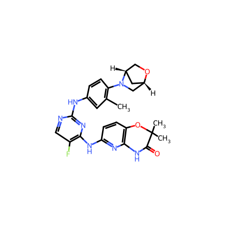 Cc1cc(Nc2ncc(F)c(Nc3ccc4c(n3)NC(=O)C(C)(C)O4)n2)ccc1N1C[C@@H]2C[C@H]1CO2